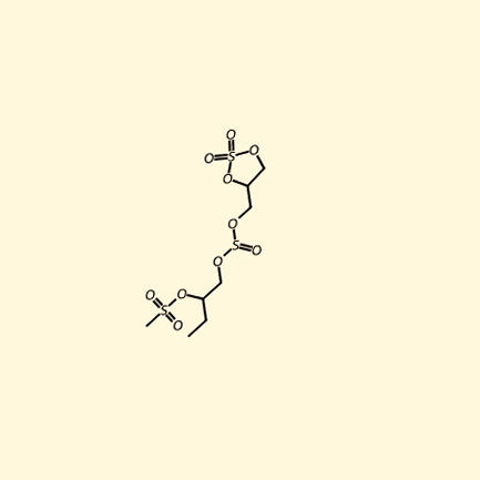 CCC(COS(=O)OCC1COS(=O)(=O)O1)OS(C)(=O)=O